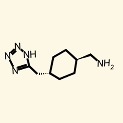 NC[C@H]1CC[C@H](Cc2nnn[nH]2)CC1